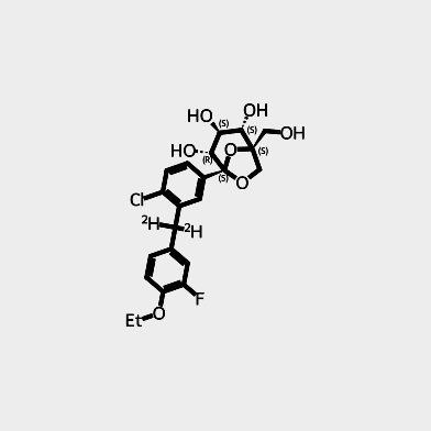 [2H]C([2H])(c1ccc(OCC)c(F)c1)c1cc([C@]23OC[C@](CO)(O2)[C@@H](O)[C@H](O)[C@H]3O)ccc1Cl